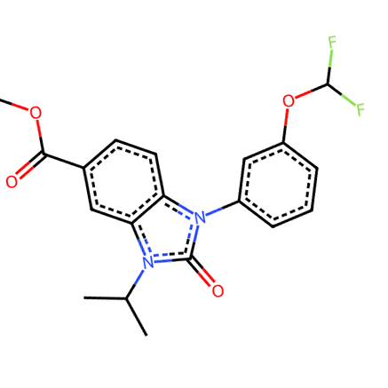 COC(=O)c1ccc2c(c1)n(C(C)C)c(=O)n2-c1cccc(OC(F)F)c1